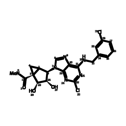 CNC(=O)[C@]12CC1[C@@H](n1cnc3c(NCc4cccc(Cl)c4)nc(Cl)nc31)[C@H](O)[C@@H]2O